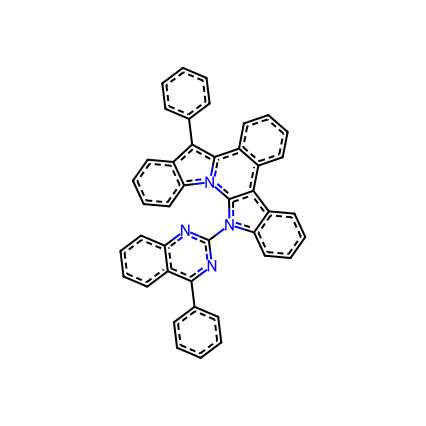 c1ccc(-c2nc(-n3c4ccccc4c4c5ccccc5c5c(-c6ccccc6)c6ccccc6n5c43)nc3ccccc23)cc1